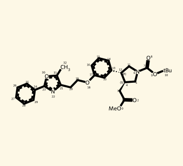 COC(=O)C[C@@H]1CN(C(=O)OC(C)(C)C)C[C@H]1c1cccc(OCCc2nc(-c3ccccc3)oc2C)c1